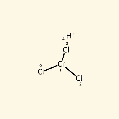 [Cl][Cr]([Cl])[Cl].[H+]